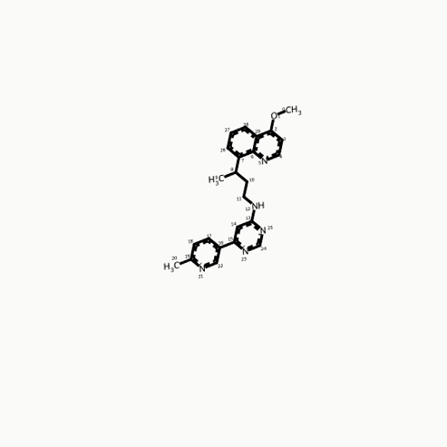 COc1ccnc2c(C(C)CCNc3cc(-c4ccc(C)nc4)ncn3)cccc12